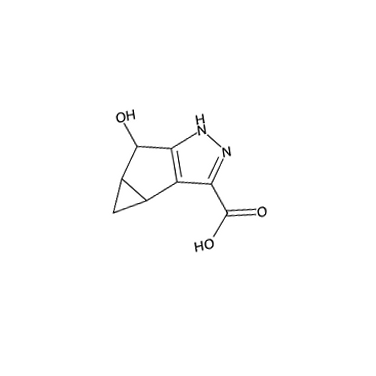 O=C(O)c1n[nH]c2c1C1CC1C2O